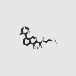 CCCNC(=O)c1ncc2c(-c3ncncc3F)cccc2c1N